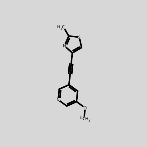 Cc1nc(C#Cc2cncc(O[11CH3])c2)cs1